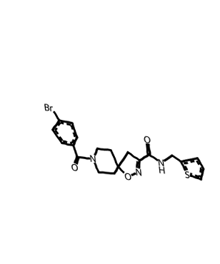 O=C(NCc1cccs1)C1=NOC2(CCN(C(=O)c3ccc(Br)cc3)CC2)C1